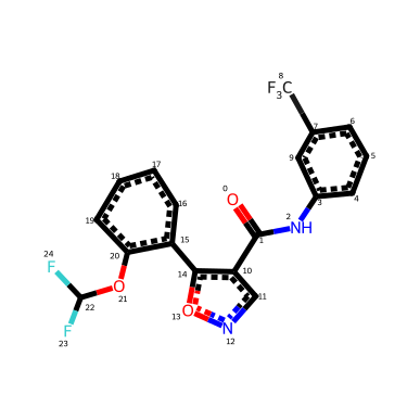 O=C(Nc1cccc(C(F)(F)F)c1)c1cnoc1-c1ccccc1OC(F)F